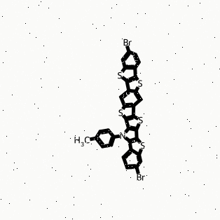 Cc1ccc(-n2c3c4ccc(Br)cc4sc3c3sc4c5cc6sc7c8ccc(Br)cc8sc7c6cc5sc4c32)cc1